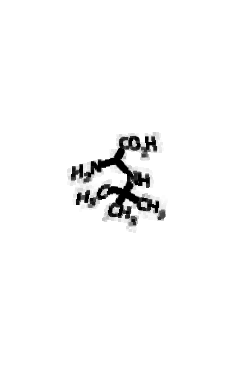 CC(C)(C)NC(N)C(=O)O